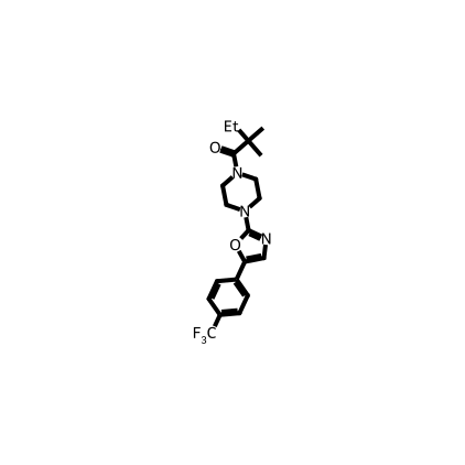 CCC(C)(C)C(=O)N1CCN(c2ncc(-c3ccc(C(F)(F)F)cc3)o2)CC1